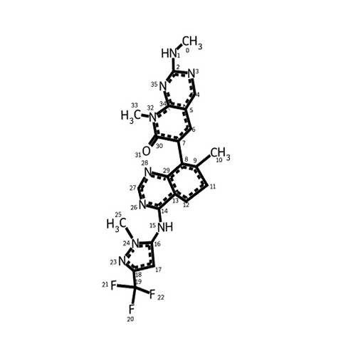 CNc1ncc2cc(-c3c(C)ccc4c(Nc5cc(C(F)(F)F)nn5C)ncnc34)c(=O)n(C)c2n1